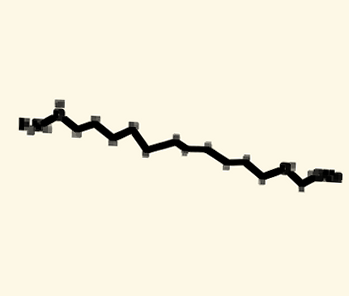 COCOCCCCCCCCCCCO[SiH3]